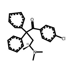 C[C@@H](CC(C(=O)c1ccc(Cl)cc1)(c1ccccc1)c1ccccc1)N(C)C